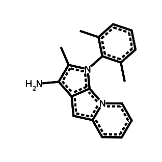 Cc1cccc(C)c1-n1c(C)c(N)c2cc3ccccn3c21